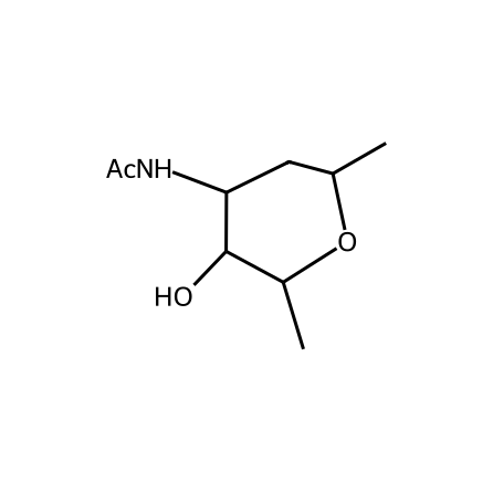 CC(=O)NC1CC(C)OC(C)C1O